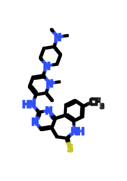 CC1C(Nc2ncc3c(n2)-c2ccc(C(F)(F)F)cc2NC(=S)C3)=CC=C(N2CCC(N(C)C)CC2)N1C